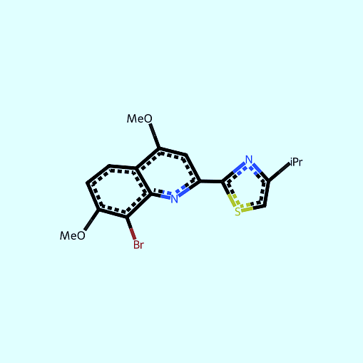 COc1ccc2c(OC)cc(-c3nc(C(C)C)cs3)nc2c1Br